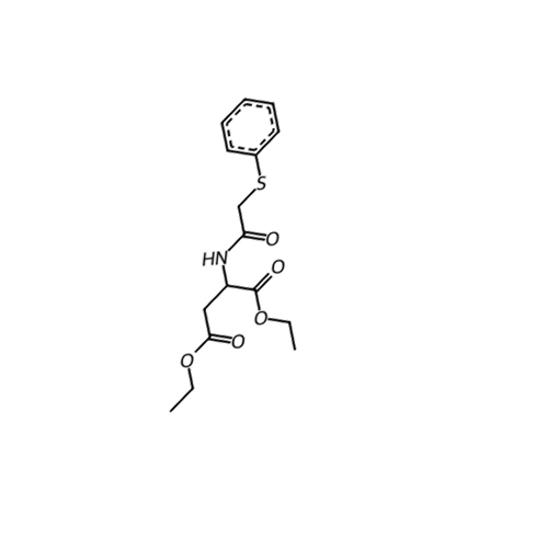 CCOC(=O)CC(NC(=O)CSc1ccccc1)C(=O)OCC